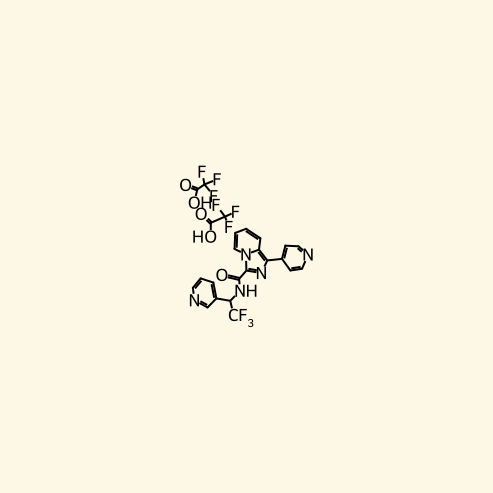 O=C(NC(c1cccnc1)C(F)(F)F)c1nc(-c2ccncc2)c2ccccn12.O=C(O)C(F)(F)F.O=C(O)C(F)(F)F